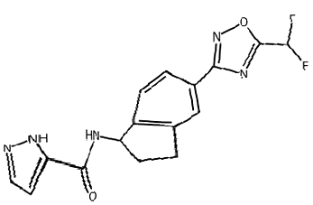 O=C(NC1CCc2cc(-c3noc(C(F)F)n3)ccc21)c1ccn[nH]1